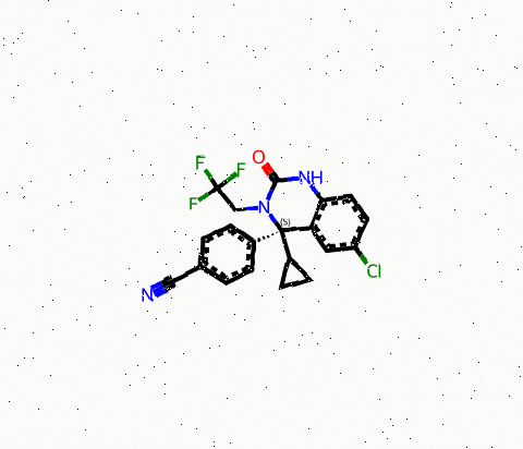 N#Cc1ccc([C@@]2(C3CC3)c3cc(Cl)ccc3NC(=O)N2CC(F)(F)F)cc1